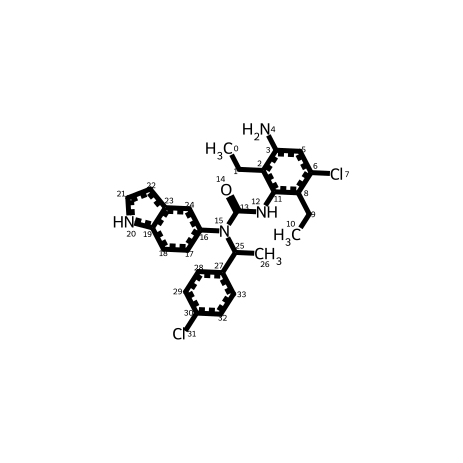 CCc1c(N)cc(Cl)c(CC)c1NC(=O)N(c1ccc2[nH]ccc2c1)C(C)c1ccc(Cl)cc1